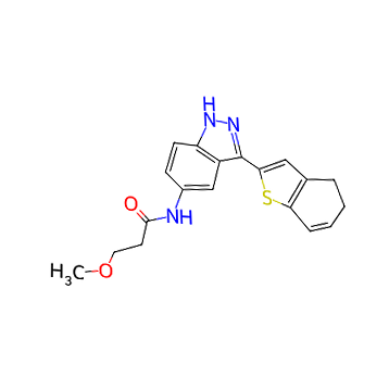 COCCC(=O)Nc1ccc2[nH]nc(-c3cc4c(s3)C=CCC4)c2c1